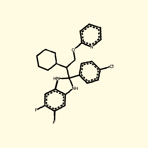 Fc1cc2c(cc1F)NC(c1ccc(Cl)cc1)(C(COc1ccccn1)C1CCCCC1)N2